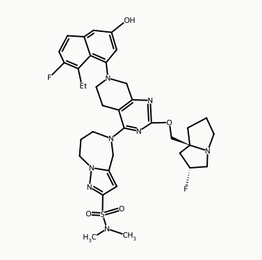 CCc1c(F)ccc2cc(O)cc(N3CCc4c(nc(OC[C@@]56CCCN5C[C@H](F)C6)nc4N4CCCn5nc(S(=O)(=O)N(C)C)cc5C4)C3)c12